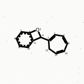 C1=CC=C(C2Oc3ccccc32)CC=C1